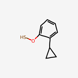 SOc1ccccc1C1CC1